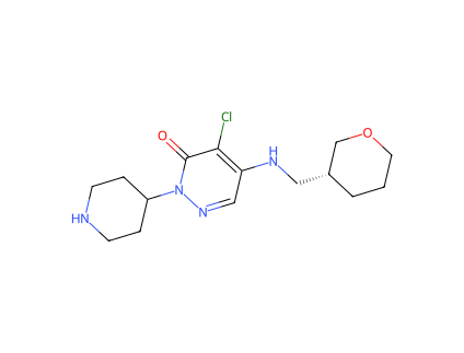 O=c1c(Cl)c(NC[C@H]2CCCOC2)cnn1C1CCNCC1